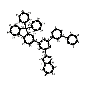 c1ccc(-c2cccc(-c3nc(-c4ccc5c(c4)C(c4ccccc4)(c4ccccc4)c4ccccc4-5)cc(-c4cc5ccccc5s4)n3)c2)cc1